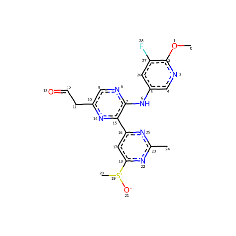 COc1ncc(Nc2ncc(CC=O)nc2-c2cc([S+](C)[O-])nc(C)n2)cc1F